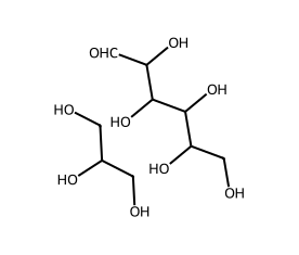 O=CC(O)C(O)C(O)C(O)CO.OCC(O)CO